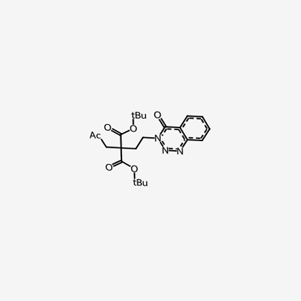 CC(=O)CC(CCn1nnc2ccccc2c1=O)(C(=O)OC(C)(C)C)C(=O)OC(C)(C)C